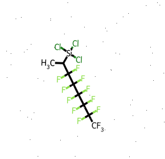 CC(C(F)(F)C(F)(F)C(F)(F)C(F)(F)C(F)(F)C(F)(F)F)[Si](Cl)(Cl)Cl